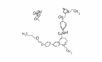 CCCCOCCOc1ccc(-c2ccc3c(c2)C=C(C(=O)Nc2ccc([S+]([O-])Cc4cncn4CCC)cc2)CCCN3CCC)cc1.CS(=O)(=O)O